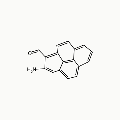 Nc1cc2ccc3cccc4ccc(c1C=O)c2c34